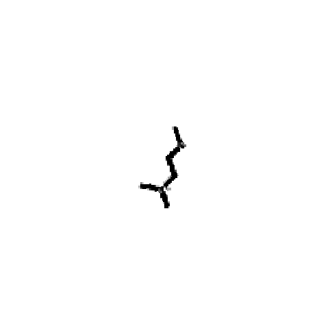 C[N]CC[N+](C)C